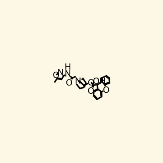 Cc1cc(NC(=O)C[N+]23CCC(CC2)C(OC(=O)C2(O)c4ccccc4Oc4ccccc42)C3)no1